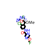 C/N=C(/N)O[C@H](CF)[C@H](OC)c1cc(NC(=O)c2cnc(OCF)cn2)ccc1Cl